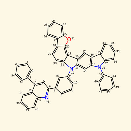 c1ccc(-c2cc(-c3cccc(-n4c5cc6c(cc5c5c7oc8ccccc8c7ccc54)c4ccccc4n6-c4ccccc4)c3)nc3ccccc23)cc1